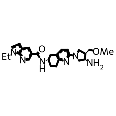 CCn1ccc2cc(C(=O)N[C@H]3CCc4nc(N5C[C@@H](COC)[C@@H](N)C5)ccc4C3)cnc21